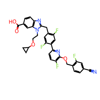 N#Cc1ccc(COc2nc(-c3cc(F)c(Cc4nc5ccc(C(=O)O)cc5n4CCOC4CC4)cc3F)ccc2F)c(F)c1